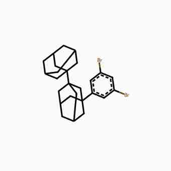 Brc1cc(Br)cc(C23CC4CC(C2)CC(C25CC6CC(CC(C6)C2)C5)(C4)C3)c1